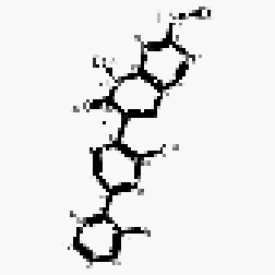 CCNc1ncc2cc(-c3ccc(-c4ncccc4C)cc3Cl)c(=O)n(CC)c2n1